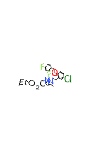 CCOC(=O)c1cc(C)n(CCc2cc(Cl)ccc2OCc2ccc(F)cc2F)n1